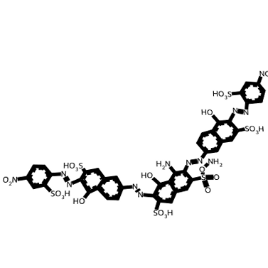 NOS(=O)(=O)c1cc2cc(S(=O)(=O)O)c(N=Nc3ccc4c(O)c(N=Nc5ccc([N+](=O)[O-])cc5S(=O)(=O)O)c(S(=O)(=O)O)cc4c3)c(O)c2c(N)c1N=Nc1ccc2c(O)c(N=Nc3ccc([N+](=O)[O-])cc3S(=O)(=O)O)c(S(=O)(=O)O)cc2c1